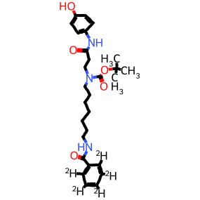 [2H]c1c([2H])c([2H])c(C(=O)NCCCCCCCN(CCC(=O)Nc2ccc(O)cc2)C(=O)OC(C)(C)C)c([2H])c1[2H]